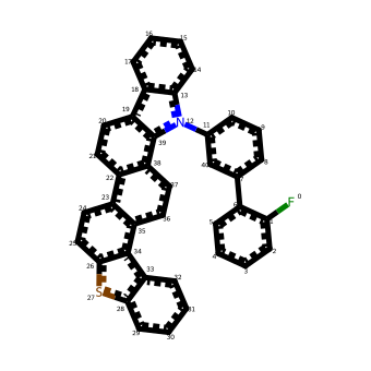 Fc1ccccc1-c1cccc(-n2c3ccccc3c3ccc4c5ccc6sc7ccccc7c6c5ccc4c32)c1